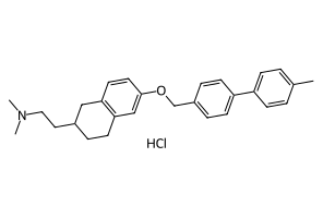 Cc1ccc(-c2ccc(COc3ccc4c(c3)CCC(CCN(C)C)C4)cc2)cc1.Cl